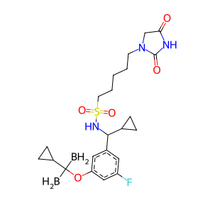 BC(B)(Oc1cc(F)cc(C(NS(=O)(=O)CCCCCN2CC(=O)NC2=O)C2CC2)c1)C1CC1